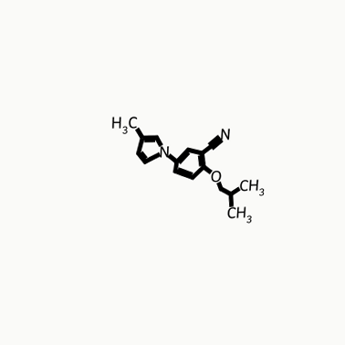 Cc1ccn(-c2ccc(OCC(C)C)c(C#N)c2)c1